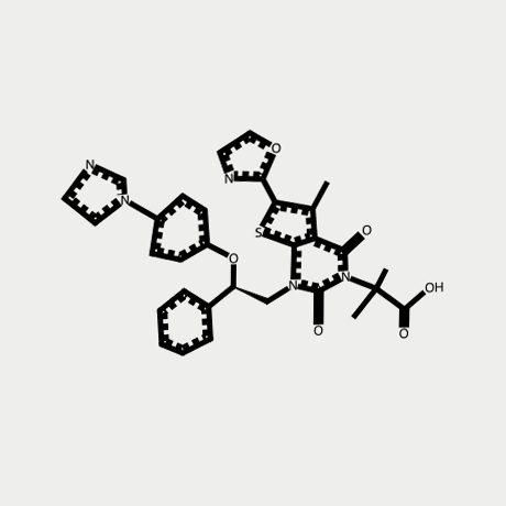 Cc1c(-c2ncco2)sc2c1c(=O)n(C(C)(C)C(=O)O)c(=O)n2C[C@H](Oc1ccc(-n2ccnc2)cc1)c1ccccc1